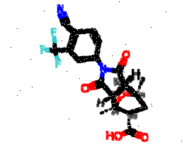 C[C@]12O[C@](C)(C[C@@H]1C(=O)O)[C@H]1C(=O)N(c3ccc(C#N)c(C(F)(F)F)c3)C(=O)[C@H]12